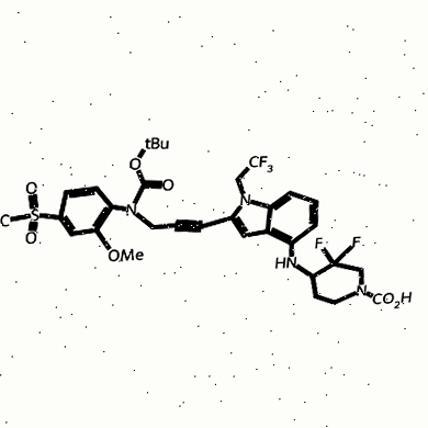 COc1cc(S(C)(=O)=O)ccc1N(CC#Cc1cc2c(NC3CCN(C(=O)O)CC3(F)F)cccc2n1CC(F)(F)F)C(=O)OC(C)(C)C